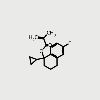 C=C(C)C(=O)OC1(C2CC2)CCCc2cc(F)ccc21